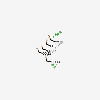 CCOC(=O)C[S].CCOC(=O)C[S].CCOC(=O)C[S].CCOC(=O)C[S].CCOC(=O)C[S].F.F.F.F.F